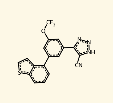 N#Cc1[nH]nnc1-c1cc(OC(F)(F)F)cc(-c2cccc3sccc23)c1